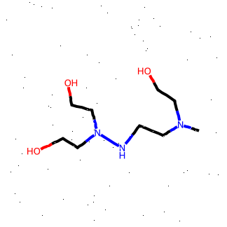 CN(CCO)CCNN(CCO)CCO